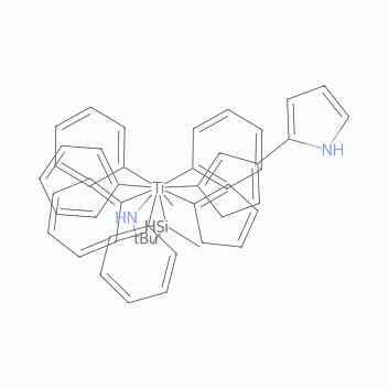 C[SiH](C)[Ti]([CH3])([NH]C(C)(C)C)([C]1=CC=CC1)([C]1=CC(c2ccc[nH]2)=CC1)([c]1ccccc1)([c]1ccccc1)([c]1ccccc1)([c]1ccccc1)[c]1ccccc1